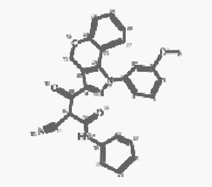 COc1cccc(-n2nc(C(=O)C(C#N)C(=O)Nc3ccccc3)c3c2-c2ccccc2OC3)c1